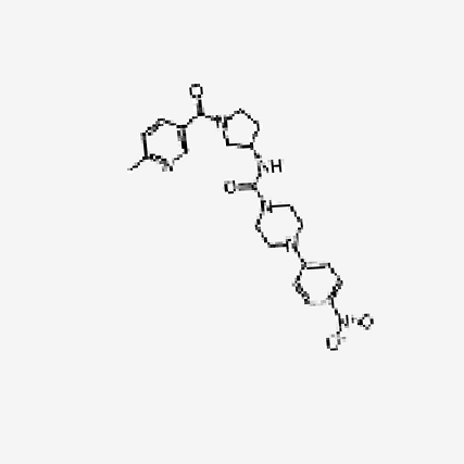 Cc1ccc(C(=O)N2CC[C@@H](NC(=O)N3CCN(c4ccc([N+](=O)[O-])cc4)CC3)C2)cn1